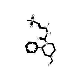 C[C@@H](/C=C/S(C)(=O)=O)NC(=O)N1CC[C@@H](CF)C[C@H]1c1ccccc1